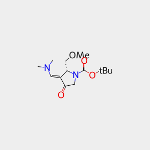 COC[C@H]1/C(=C\N(C)C)C(=O)CN1C(=O)OC(C)(C)C